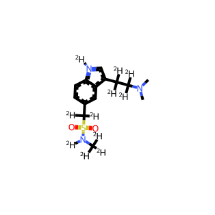 [2H]N(C([2H])([2H])[2H])S(=O)(=O)C([2H])([2H])c1ccc2c(c1)c(C([2H])([2H])C([2H])([2H])N(C)C)cn2[2H]